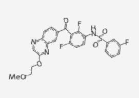 COCCOc1cnc2ccc(C(=O)c3c(F)ccc(NS(=O)(=O)c4cccc(F)c4)c3F)cc2n1